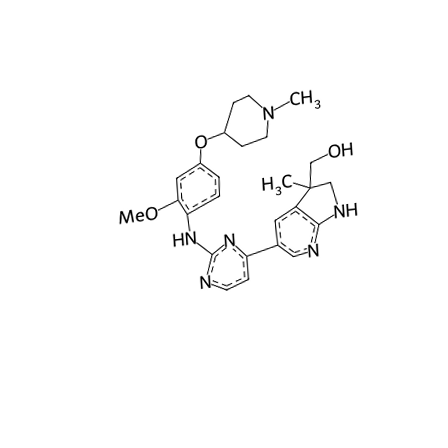 COc1cc(OC2CCN(C)CC2)ccc1Nc1nccc(-c2cnc3c(c2)C(C)(CO)CN3)n1